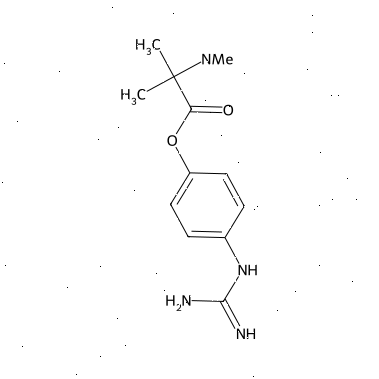 CNC(C)(C)C(=O)Oc1ccc(NC(=N)N)cc1